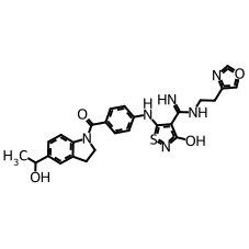 CC(O)c1ccc2c(c1)CCN2C(=O)c1ccc(Nc2snc(O)c2C(=N)NCCc2cocn2)cc1